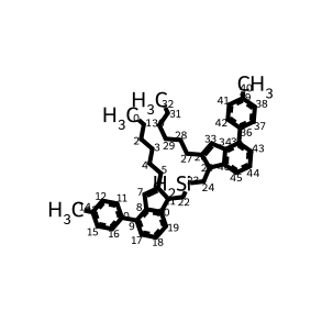 CCCCCCC1=Cc2c(-c3ccc(C)cc3)cccc2C1C[SiH2]CC1C(CCCCCC)=Cc2c(-c3ccc(C)cc3)cccc21